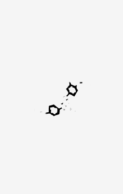 COc1ccc(S(=O)(=O)OS(=O)(=O)c2ccc(OC)c(O)c2)cc1.[KH].[KH]